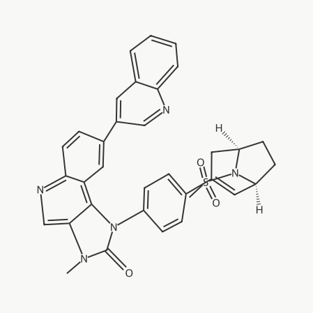 Cn1c(=O)n(-c2ccc(C3=C[C@@H]4CC[C@H](C3)N4S(C)(=O)=O)cc2)c2c3cc(-c4cnc5ccccc5c4)ccc3ncc21